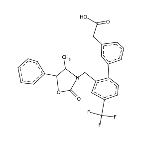 CC1C(c2ccccc2)OC(=O)N1Cc1cc(C(F)(F)F)ccc1-c1cccc(CC(=O)O)c1